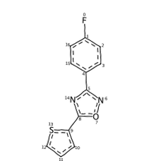 Fc1ccc(-c2noc(-c3cccs3)n2)cc1